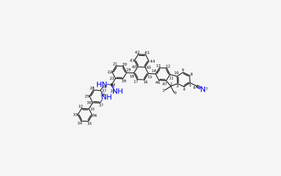 CC1(C)c2cc(C#N)ccc2-c2ccc(-c3ccc(-c4cccc(C(=N)NC5C=CC(c6ccccc6)=CN5)c4)c4ccccc34)cc21